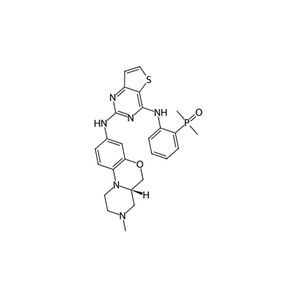 CN1CCN2c3ccc(Nc4nc(Nc5ccccc5P(C)(C)=O)c5sccc5n4)cc3OC[C@@H]2C1